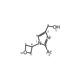 CC(=O)c1nc(CO)cn1C1COC1